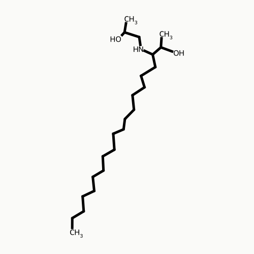 CCCCCCCCCCCCCCCCCC(NCC(C)O)C(C)O